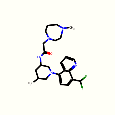 CC1CC(NC(=O)CN2CCCN(C)CC2)CN(c2ccc(C(F)F)c3ncccc23)C1